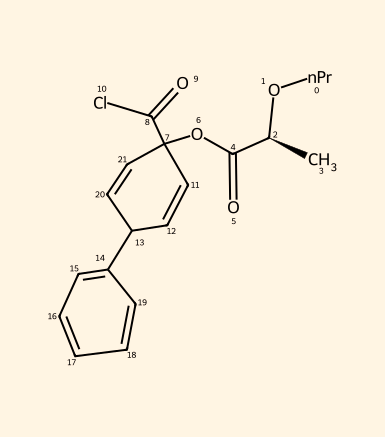 CCCO[C@@H](C)C(=O)OC1(C(=O)Cl)C=CC(c2ccccc2)C=C1